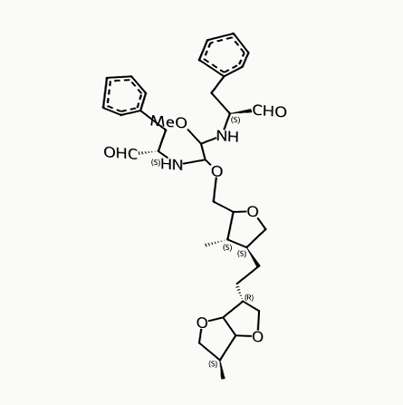 COC(N[C@H](C=O)Cc1ccccc1)C(N[C@H](C=O)Cc1ccccc1)OCC1OC[C@@H](CC[C@@H]2COC3C2OC[C@@H]3C)[C@@H]1C